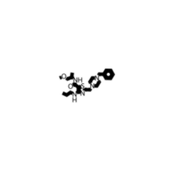 CCCNc1nc(CN2CCN(Cc3ccccc3)CC2)sc1C(=O)NC(C)COC